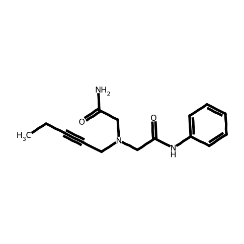 CCC#CCN(CC(N)=O)CC(=O)Nc1ccccc1